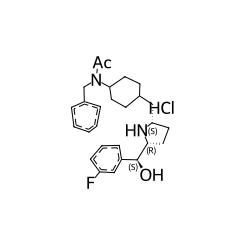 CC(=O)N(Cc1ccccc1)C1CCC(C[C@@H]2CC[C@H]([C@@H](O)c3cccc(F)c3)N2)CC1.Cl